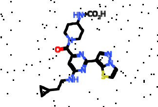 O=C(O)NC1CCN(C(=O)c2cc(NCCC3CC3)nc(-c3cnn4ccsc34)n2)CC1